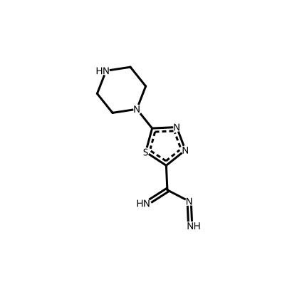 N=NC(=N)c1nnc(N2CCNCC2)s1